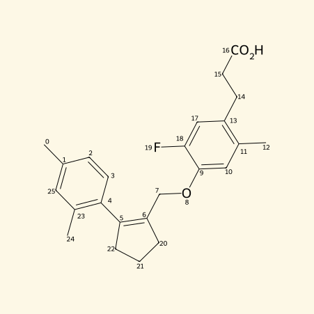 Cc1ccc(C2=C(COc3cc(C)c(CCC(=O)O)cc3F)CCC2)c(C)c1